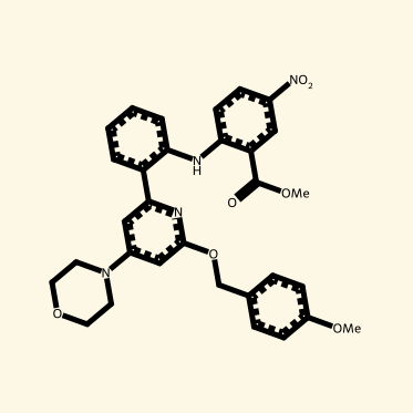 COC(=O)c1cc([N+](=O)[O-])ccc1Nc1ccccc1-c1cc(N2CCOCC2)cc(OCc2ccc(OC)cc2)n1